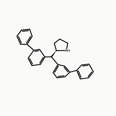 c1ccc(-c2cccc(C(c3cccc(-c4ccccc4)c3)[C@H]3CCCN3)c2)cc1